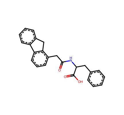 O=C(Cc1cccc2c1Cc1ccccc1-2)NC(Cc1ccccc1)C(=O)O